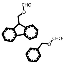 O=[C]OCC1c2ccccc2-c2ccccc21.O=[C]OCc1ccccc1